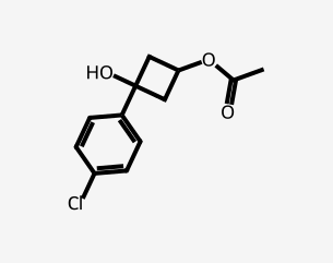 CC(=O)OC1CC(O)(c2ccc(Cl)cc2)C1